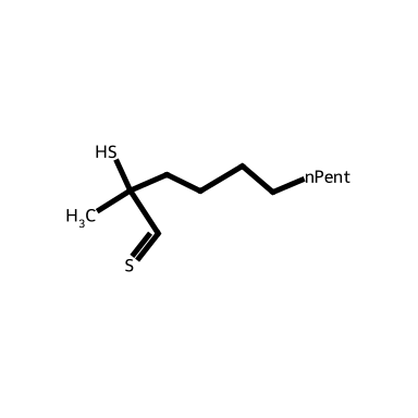 CCCCCCCCCC(C)(S)C=S